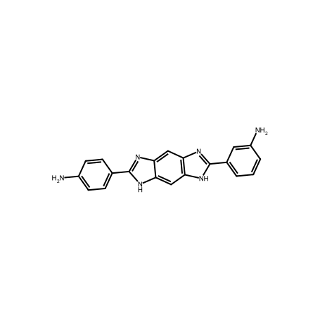 Nc1ccc(-c2nc3cc4nc(-c5cccc(N)c5)[nH]c4cc3[nH]2)cc1